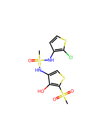 CS(=O)(=O)c1scc(N[SH](C)(=O)Nc2ccsc2Cl)c1O